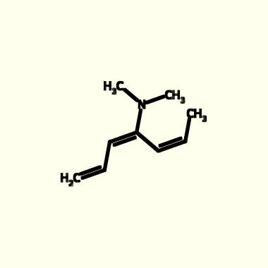 C=C/C=C(\C=C/C)N(C)C